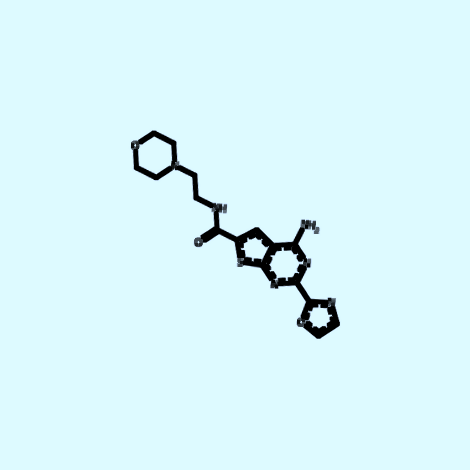 Nc1nc(-c2ncco2)nc2sc(C(=O)NCCN3CCOCC3)cc12